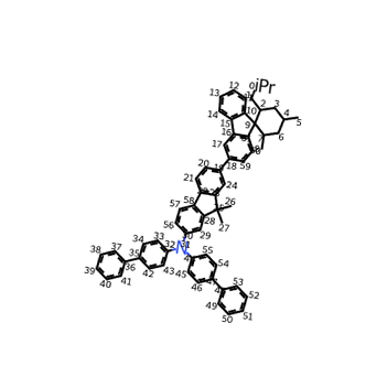 CC(C)CC1CC(C)CC(C)C12c1ccccc1-c1cc(-c3ccc4c(c3)C(C)(C)c3cc(N(c5ccc(-c6ccccc6)cc5)c5ccc(-c6ccccc6)cc5)ccc3-4)ccc12